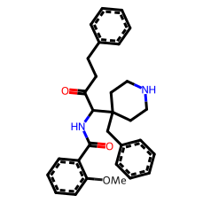 COc1ccccc1C(=O)NC(C(=O)CCc1ccccc1)C1(Cc2ccccc2)CCNCC1